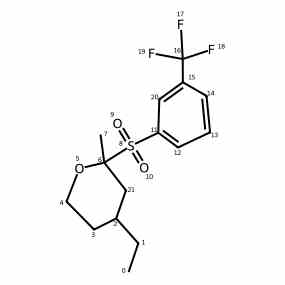 CCC1CCOC(C)(S(=O)(=O)c2cccc(C(F)(F)F)c2)C1